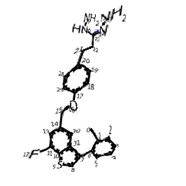 Cc1ccccc1-c1csc2c(F)cc(COc3ccc(CC/C(=N/N)NN)cc3)cc12